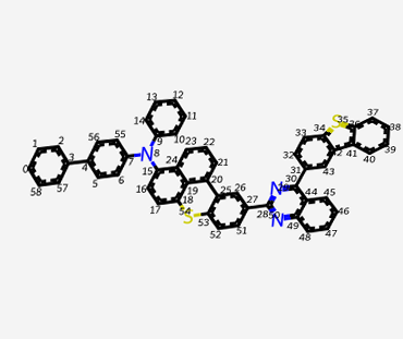 c1ccc(-c2ccc(N(c3ccccc3)c3ccc4c5c(cccc35)-c3cc(-c5nc(-c6ccc7sc8ccccc8c7c6)c6ccccc6n5)ccc3S4)cc2)cc1